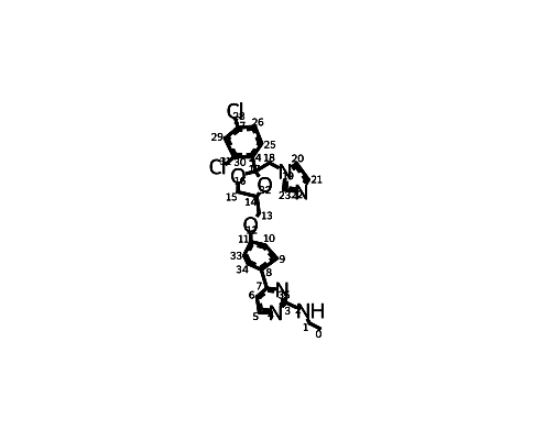 CCNc1nccc(-c2ccc(OCC3COC(Cn4ccnc4)(c4ccc(Cl)cc4Cl)O3)cc2)n1